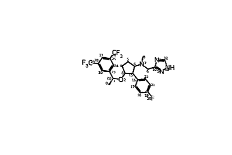 C[C@H](OC1CCC(N(C)Cc2nc[nH]n2)C1c1ccc(F)cc1)c1cc(C(F)(F)F)cc(C(F)(F)F)c1